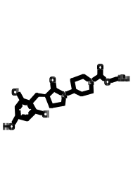 CC(C)(C)OC(=O)N1CCC(N2CC[C@@H](Cc3c(Cl)cc(O)cc3Cl)C2=O)CC1